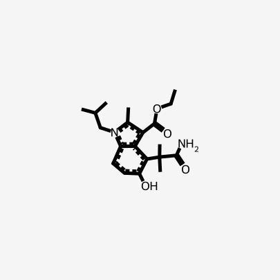 CCOC(=O)c1c(C)n(CC(C)C)c2ccc(O)c(C(C)(C)C(N)=O)c12